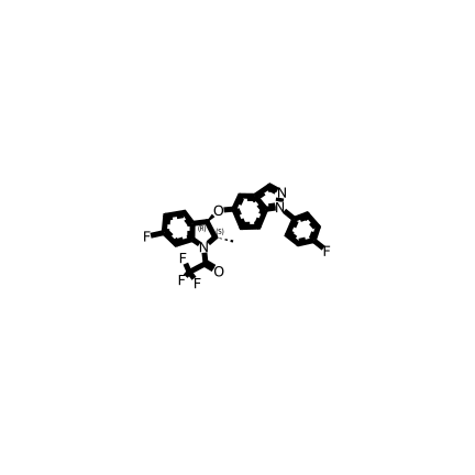 C[C@H]1[C@H](Oc2ccc3c(cnn3-c3ccc(F)cc3)c2)c2ccc(F)cc2N1C(=O)C(F)(F)F